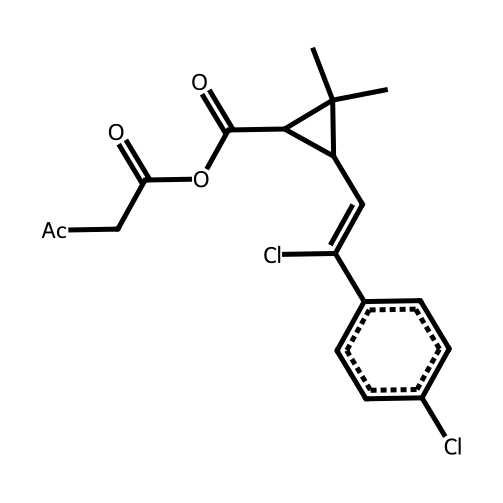 CC(=O)CC(=O)OC(=O)C1C(C=C(Cl)c2ccc(Cl)cc2)C1(C)C